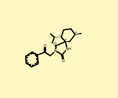 CC(C)[C@@H]1CC[C@@H](C)C[C@]12NC(=O)N(CC(=O)c1ccccc1)C2=O